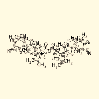 C=C(C)C1CC[C@]2(C(=O)OC(=O)[C@]34CCC(C(=C)C)[C@@H]3[C@H]3CCC5[C@@]6(C)C=C(C#N)C(=O)C(C)(C)[C@@H]6CC[C@@]5(C)[C@]3(C)CC4)CC[C@]3(C)[C@H](CCC4[C@@]5(C)C=C(C#N)C(=O)C(C)(C)[C@@H]5CC[C@]43C)[C@@H]12